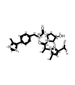 Cc1ncsc1-c1ccc(CNC(=O)[C@@H]2C[C@@H](O)CN2C(=O)C(C)n2nc(C(F)F)cc2C)cc1